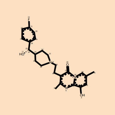 Cc1cc(O)c2nc(C)c(CCN3CCC([C@H](O)c4ccc(F)cc4)CC3)c(=O)n2c1